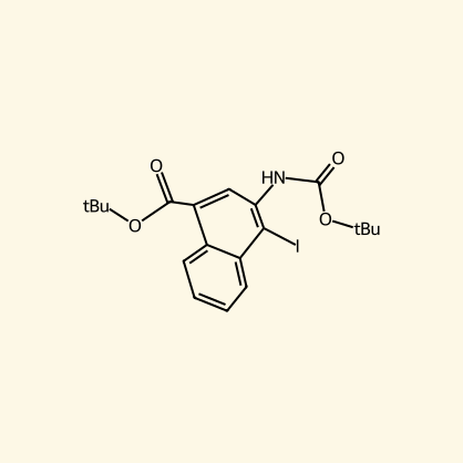 CC(C)(C)OC(=O)Nc1cc(C(=O)OC(C)(C)C)c2ccccc2c1I